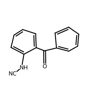 N#CNc1ccccc1C(=O)c1ccccc1